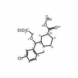 CCOC(=O)COC(c1cc(Cl)ccc1C)C1CCCN(C(=O)OC(C)(C)C)C1